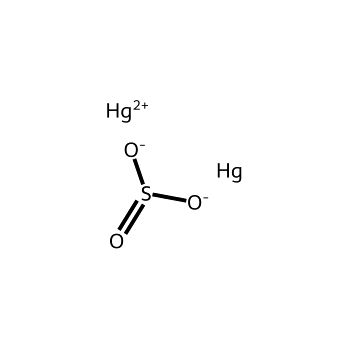 O=S([O-])[O-].[Hg+2].[Hg]